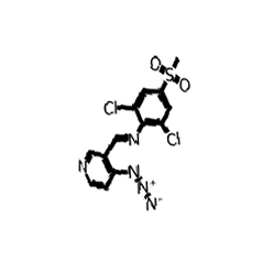 CS(=O)(=O)c1cc(Cl)c(/N=C/c2cnccc2N=[N+]=[N-])c(Cl)c1